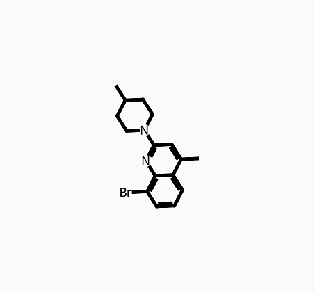 Cc1cc(N2CCC(C)CC2)nc2c(Br)cccc12